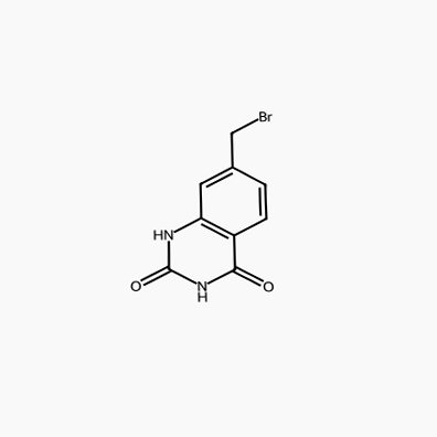 O=c1[nH]c(=O)c2ccc(CBr)cc2[nH]1